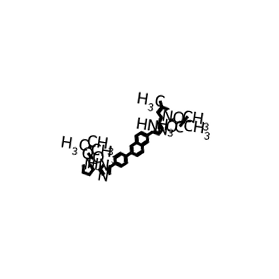 CC1=CC(c2ncc(-c3ccc4cc(-c5ccc(-c6cnc([C@@H]7CCCN7C(=O)OC(C)(C)C)[nH]6)cc5)ccc4c3)[nH]2)N(C(=O)OC(C)(C)C)C1